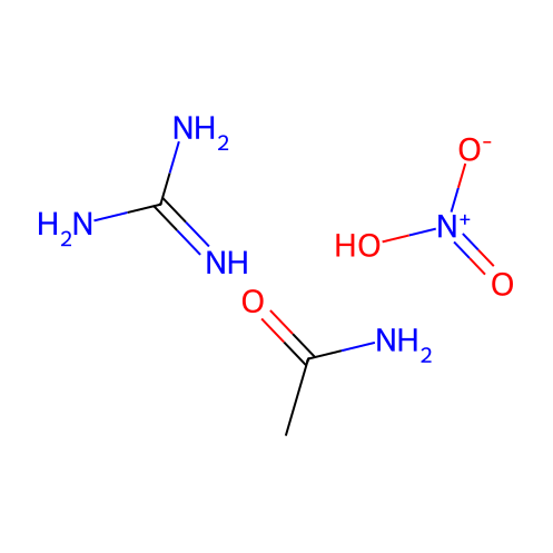 CC(N)=O.N=C(N)N.O=[N+]([O-])O